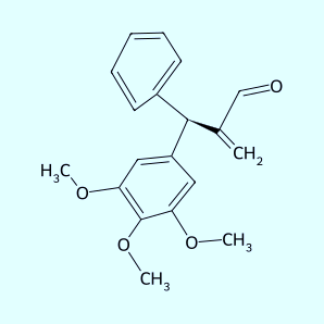 C=C(C=O)[C@H](c1ccccc1)c1cc(OC)c(OC)c(OC)c1